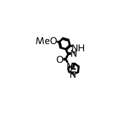 COc1ccc2[nH]nc(C(=O)N3CCN4CCC3CC4)c2c1